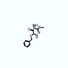 CSC1=NN(C)C(SCc2ccccc2)C(=O)N1N